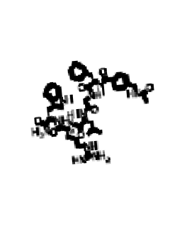 CC(=O)NCc1ccc(C(=O)N[C@@H](Cc2ccccc2)C(=O)NCC(=O)N[C@@H](CC(C)C)C(=O)N[C@@H](CCCNC(=N)N)C(=O)N[C@@H](Cc2c[nH]c3ccccc23)C(N)=O)cc1